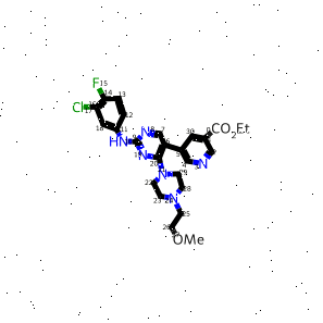 CCOC(=O)c1cncc(-c2cnc(Nc3ccc(F)c(Cl)c3)nc2N2CCN(CCOC)CC2)c1